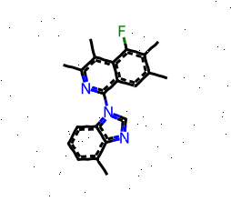 Cc1cc2c(-n3cnc4c(C)cccc43)nc(C)c(C)c2c(F)c1C